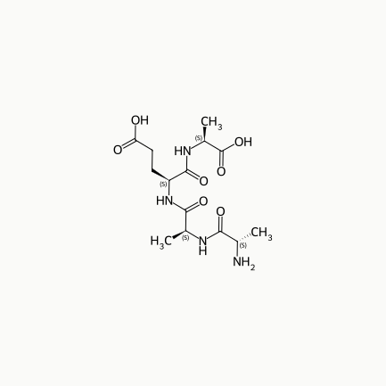 C[C@H](N)C(=O)N[C@@H](C)C(=O)N[C@@H](CCC(=O)O)C(=O)N[C@@H](C)C(=O)O